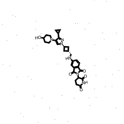 O=C1CCC(N2C(=O)c3ccc(NC[C@H]4C[C@H](n5cc(N6CCC(O)CC6)c(C6CC6)n5)C4)cc3C2=O)C(=O)N1